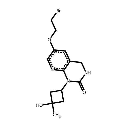 CC1(O)CC(N2C(=O)NCc3cc(OCCBr)cnc32)C1